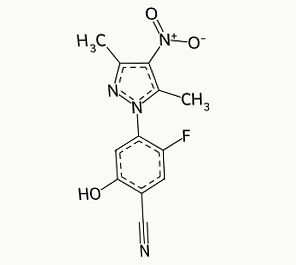 Cc1nn(-c2cc(O)c(C#N)cc2F)c(C)c1[N+](=O)[O-]